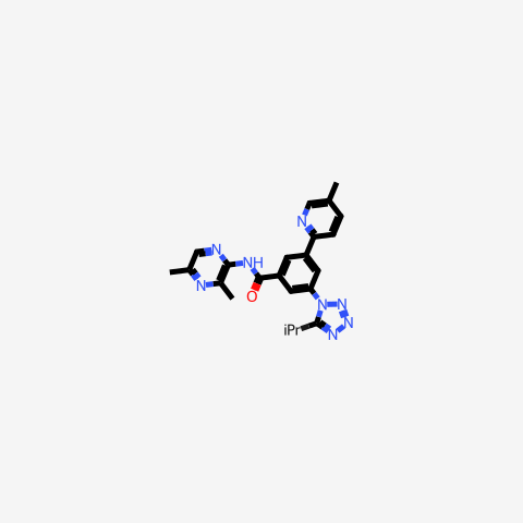 Cc1ccc(-c2cc(C(=O)Nc3ncc(C)nc3C)cc(-n3nnnc3C(C)C)c2)nc1